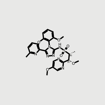 COc1cnc([C@@H](OC)[C@@H](C)S(=O)(=O)Nc2nnc(-c3cccc(C)n3)n2-c2c(OC)cccc2OC)nc1